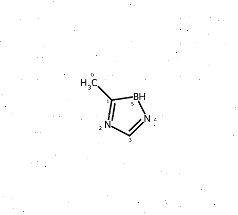 CC1=NC=NB1